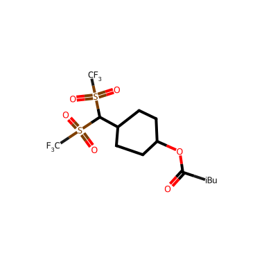 CCC(C)C(=O)OC1CCC(C(S(=O)(=O)C(F)(F)F)S(=O)(=O)C(F)(F)F)CC1